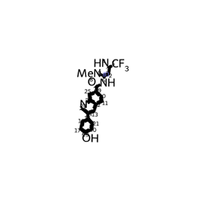 CN/C(=C\C(=N)C(F)(F)F)NC(=O)c1ccc2cc(-c3ccc(O)cc3)cnc2c1